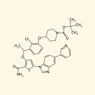 CC(Oc1cc(-n2cnc3cc(-c4cccnc4)ccc32)sc1C(N)=O)c1cccc(OC2CCN(C(=O)OC(C)(C)C)CC2)c1Cl